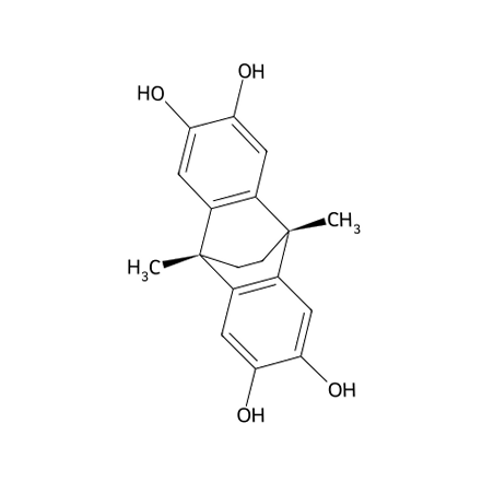 C[C@]12CC[C@](C)(c3cc(O)c(O)cc31)c1cc(O)c(O)cc12